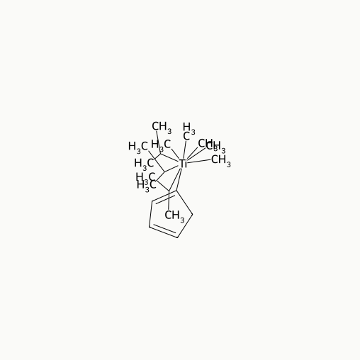 C[CH](C)[Ti]([CH3])([CH3])([CH3])([CH3])([CH3])([C]1=CC=CC1)([CH](C)C)[CH](C)C